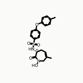 CC1=CC[C@@H](NS(=O)(=O)c2ccc(Oc3ccc(C)cc3)cc2)C(=O)N(O)C1